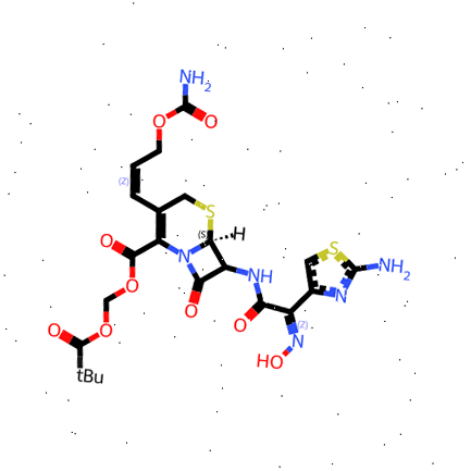 CC(C)(C)C(=O)OCOC(=O)C1=C(/C=C\COC(N)=O)CS[C@H]2C(NC(=O)/C(=N\O)c3csc(N)n3)C(=O)N12